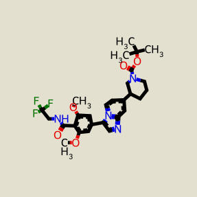 COc1cc(-c2cnc3cc(C4CCCN(C(=O)OC(C)(C)C)C4)ccn23)cc(OC)c1C(=O)NCC(F)(F)F